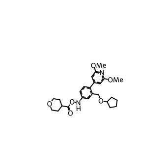 COc1cc(-c2ccc(NOC(=O)C3CCOCC3)cc2COC2CCCC2)cc(OC)n1